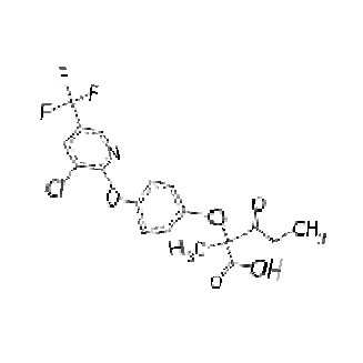 CCC(=O)C(C)(Oc1ccc(Oc2ncc(C(F)(F)F)cc2Cl)cc1)C(=O)O